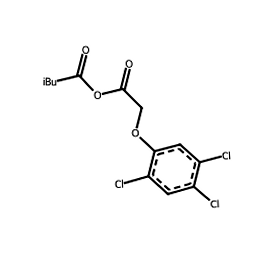 [CH2]C(CC)C(=O)OC(=O)COc1cc(Cl)c(Cl)cc1Cl